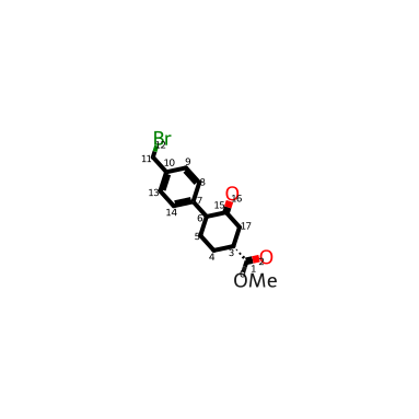 COC(=O)[C@@H]1CCC(c2ccc(CBr)cc2)C(=O)C1